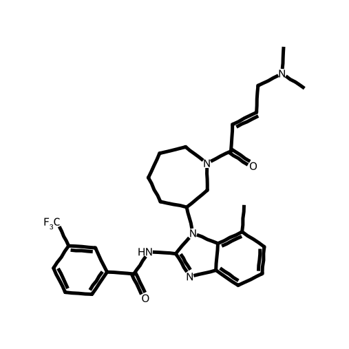 Cc1cccc2nc(NC(=O)c3cccc(C(F)(F)F)c3)n(C3CCCCN(C(=O)C=CCN(C)C)C3)c12